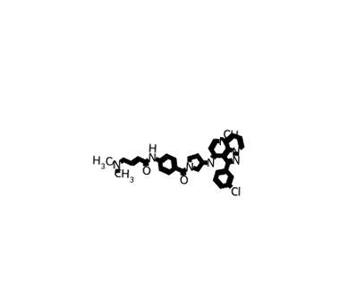 C=N/C=C\C(=N/C1CCN(C(=O)c2ccc(NC(=O)/C=C/CN(C)C)cc2)C1)c1c(-c2cccc(Cl)c2)nn2ccccc12